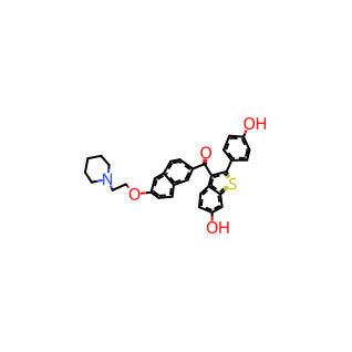 O=C(c1ccc2cc(OCCN3CCCCC3)ccc2c1)c1c(-c2ccc(O)cc2)sc2cc(O)ccc12